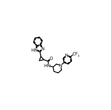 O=C(NC1CCCN(c2ccc(C(F)(F)F)nc2)C1)C1CC1c1nc2ccccc2[nH]1